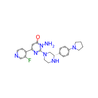 Nn1c(N2CCN[C@@H](c3ccc(N4CCCC4)cc3)C2)nc(-c2ccncc2F)cc1=O